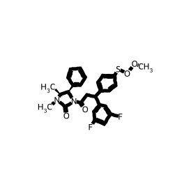 COOSc1ccc(C(CC(=O)N2C(=O)N(C)[C@@H](C)[C@H]2c2ccccc2)c2cc(F)cc(F)c2)cc1